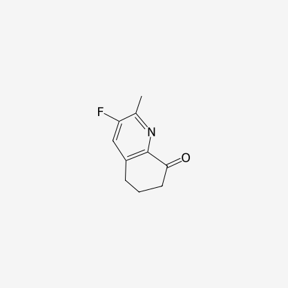 Cc1nc2c(cc1F)CCCC2=O